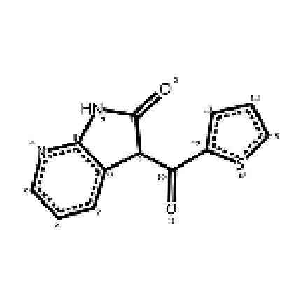 O=C1Nc2ncccc2C1C(=O)c1cccs1